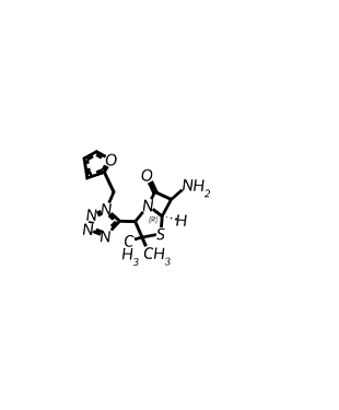 CC1(C)S[C@@H]2C(N)C(=O)N2C1c1nnnn1Cc1ccco1